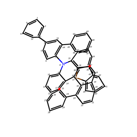 c1ccc(-c2ccc(N(c3ccccc3-c3cccc4cccc(-c5ccccc5)c34)c3cccc4c3sc3ccccc34)c(-c3ccccc3)c2)cc1